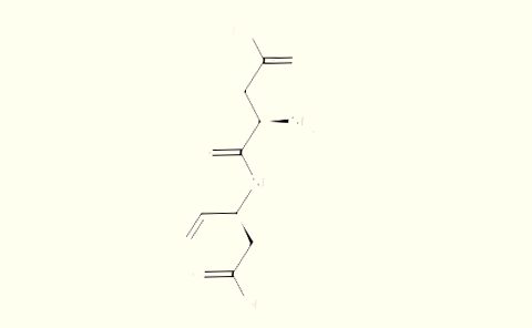 N[C@H](CC(=O)O)C(=O)N[C@H]([C]=O)CC(=O)O